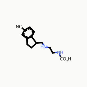 N#Cc1ccc2c(c1)CCC2CNCCNC(=O)O